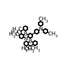 Cc1ccc(N(c2ccc(C)cc2)c2ccc(-c3cc4c5c(c3)B3c6ccccc6C(C)(C)c6c(C)ccc(c63)N5c3ccc(C)c5c3B4c3ccccc3C5(C)C)cc2)cc1